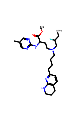 COCC(F)CN(CCCCc1ccc2c(n1)NCCC2)CCC(Nc1ncc(C)cn1)C(=O)OC(C)(C)C